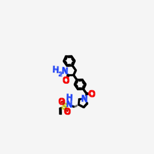 C=CS(=O)(=O)NC[C@H]1CCN(C(=O)c2ccc(C(Cc3ccccc3)C(N)=O)cc2)C1